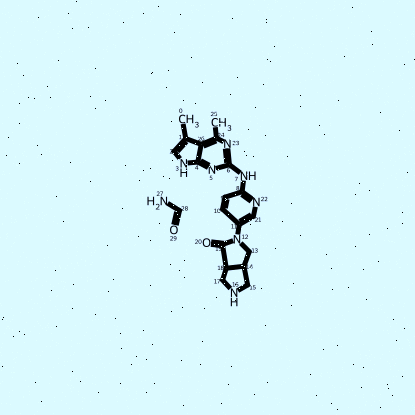 Cc1c[nH]c2nc(Nc3ccc(N4CC5CNCC5C4=O)cn3)nc(C)c12.NC=O